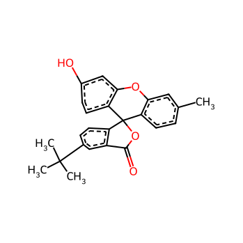 Cc1ccc2c(c1)Oc1cc(O)ccc1C21OC(=O)c2cc(C(C)(C)C)ccc21